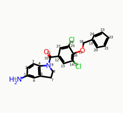 Nc1ccc2c(c1)CCN2C(=O)c1cc(Cl)c(OCc2ccccc2)c(Cl)c1